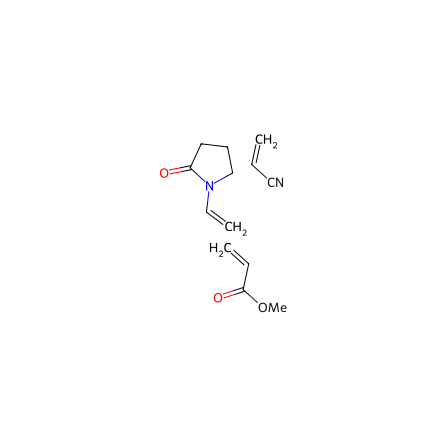 C=CC#N.C=CC(=O)OC.C=CN1CCCC1=O